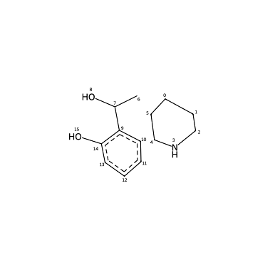 C1CCNCC1.CC(O)c1ccccc1O